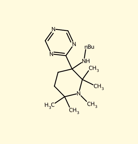 CCCCNC1(c2ncncn2)CCC(C)(C)N(C)C1(C)C